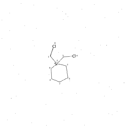 ClC[Si]1(CCl)CCCCC1